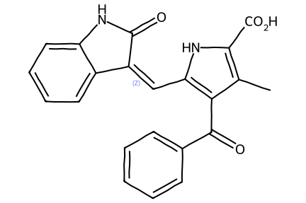 Cc1c(C(=O)O)[nH]c(/C=C2\C(=O)Nc3ccccc32)c1C(=O)c1ccccc1